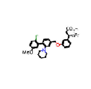 CCC[C@H](CC(=O)O)c1cccc(OCc2ccc(-c3cc(OC)ccc3F)c(N3CCCCC3)c2)c1